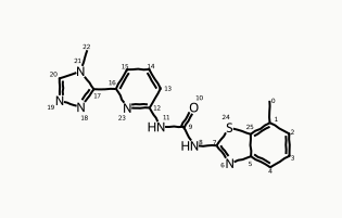 Cc1cccc2nc(NC(=O)Nc3cccc(-c4nncn4C)n3)sc12